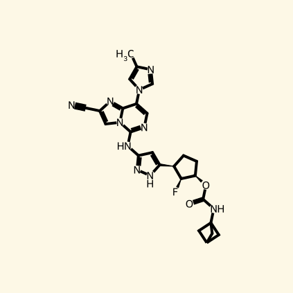 Cc1cn(-c2cnc(Nc3cc([C@H]4CC[C@@H](OC(=O)NC56CC(C5)C6)[C@H]4F)[nH]n3)n3cc(C#N)nc23)cn1